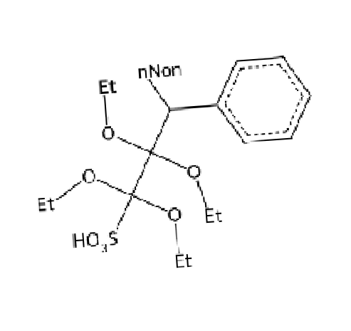 CCCCCCCCCC(c1ccccc1)C(OCC)(OCC)C(OCC)(OCC)S(=O)(=O)O